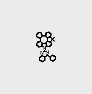 CC1(C)c2cccc3c4ccccc4c4cccc5c4c4c(c1ccc4n5-c1nc(-c4ccccc4)c4ccccc4n1)c23